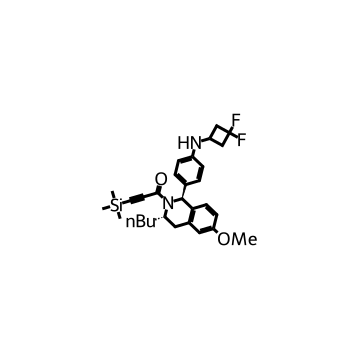 CCCC[C@H]1Cc2cc(OC)ccc2[C@H](c2ccc(NC3CC(F)(F)C3)cc2)N1C(=O)C#C[Si](C)(C)C